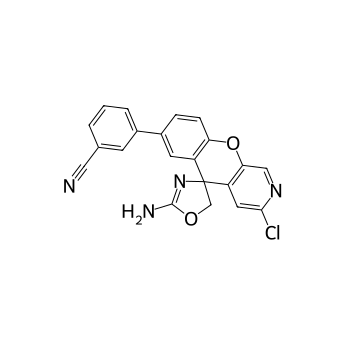 N#Cc1cccc(-c2ccc3c(c2)C2(COC(N)=N2)c2cc(Cl)ncc2O3)c1